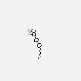 FC/C=C/CC[C@H]1CC[C@H](C2CCC(c3cc(F)c(C(F)(F)F)c(F)c3)CC2)CC1